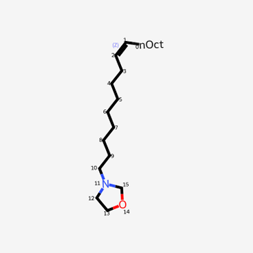 CCCCCCCC/C=C\CCCCCCCCN1CCOC1